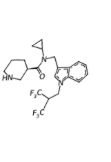 O=C([C@@H]1CCCNC1)N(Cc1cn(CC(C(F)(F)F)C(F)(F)F)c2ccccc12)C1CC1